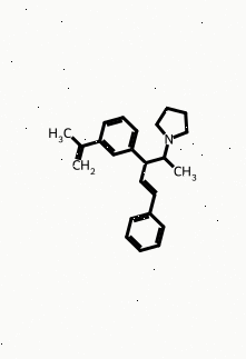 C=C(C)c1cccc(C(C=Cc2ccccc2)C(C)N2CCCC2)c1